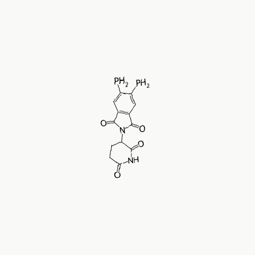 O=C1CCC(N2C(=O)c3cc(P)c(P)cc3C2=O)C(=O)N1